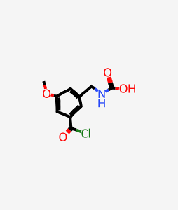 COc1cc(CNC(=O)O)cc(C(=O)Cl)c1